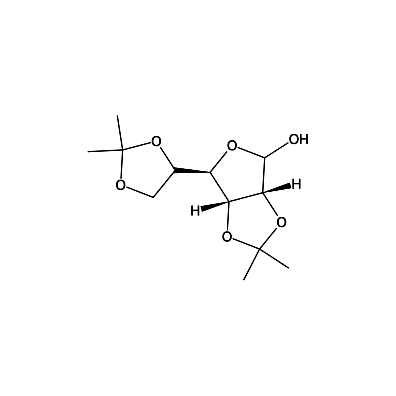 CC1(C)OCC([C@H]2OC(O)[C@@H]3OC(C)(C)O[C@H]23)O1